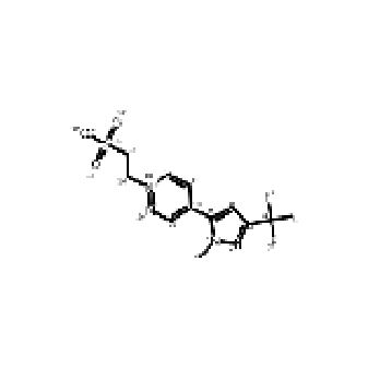 Cn1nc(C(C)(F)F)cc1-c1cc[n+](CCS(=O)(=O)[O-])nc1